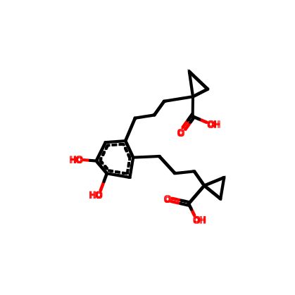 O=C(O)C1(CCCc2cc(O)c(O)cc2CCCC2(C(=O)O)CC2)CC1